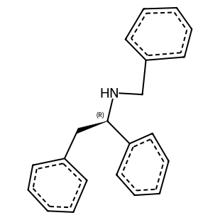 c1ccc(CN[C@H](Cc2ccccc2)c2ccccc2)cc1